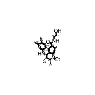 CCN1c2ccc(C(=O)NCCO)cc2[C@H](Nc2ccc(F)c(C)n2)[C@@H](C)[C@@H]1C